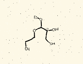 CCOC(OCCO)[C@@H](O)CO